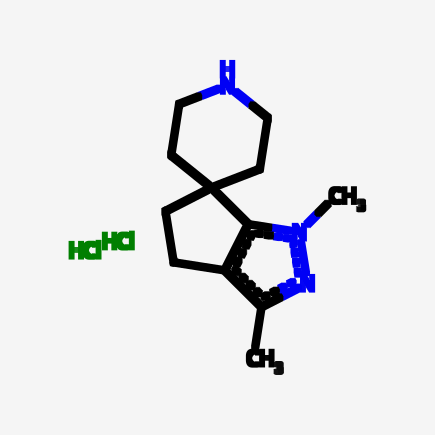 Cc1nn(C)c2c1CCC21CCNCC1.Cl.Cl